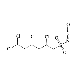 O=C=NS(=O)(=O)CC(Cl)CC(Cl)CC(Cl)Cl